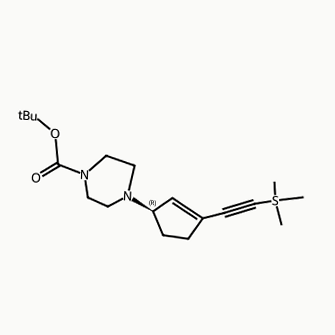 CC(C)(C)OC(=O)N1CCN([C@H]2C=C(C#CS(C)(C)C)CC2)CC1